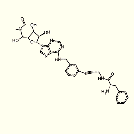 CN(C=O)C(O)[C@H]1O[C@@H](n2cnc3c(NCc4cccc(C#CCNC(=O)[C@@H](N)Cc5ccccc5)c4)ncnc32)[C@H](O)[C@@H]1O